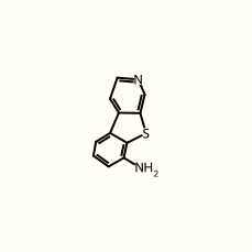 Nc1cccc2c1sc1cnccc12